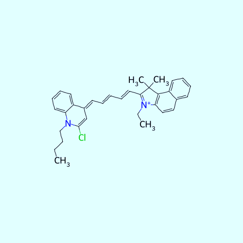 CCCCN1C(Cl)=C\C(=C/C=C/C=C/C2=[N+](CC)c3ccc4ccccc4c3C2(C)C)c2ccccc21